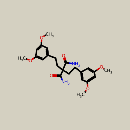 COc1cc(CCC(CCc2cc(OC)cc(OC)c2)(C(N)=O)C(N)=O)cc(OC)c1